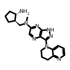 CN(C[C@H]1CCC[C@@H]1N)c1cnc2c(N3CCCc4ncccc43)n[nH]c2n1